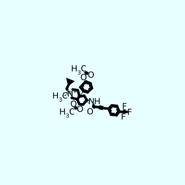 CC(=O)Oc1cccc([C@@]23CC[N@+](C)(CC4CC4)CC2(OC(C)=O)CC[C@@H](NC(=O)C#Cc2ccc(C(F)(F)F)cc2)C3)c1